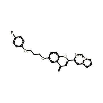 C=C1C=C(c2cc3cccn3cn2)Oc2ccc(OCCCOc3ccc(F)cc3)cc21